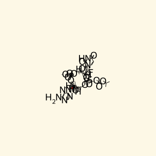 COOP1(=O)OC[C@H]2O[C@@H](n3ccc(=O)[nH]c3=O)[C@H](F)[C@@H]2OP(=O)(SCOC(=O)OC(C)C)OC[C@H]2O[C@@H](n3cnc4c(N)ncnc43)[C@H](O1)[C@@H]2F